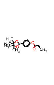 C=CC(=O)Oc1ccc(B2OC(C)(C)C(C)(C)O2)cc1